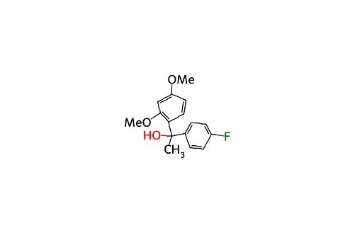 COc1ccc(C(C)(O)c2ccc(F)cc2)c(OC)c1